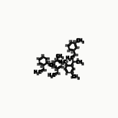 C=Cc1cc(C)ccc1C.C=Cc1ccc(C)cc1.C=Cc1cccc(C)c1.C=Cc1ccccc1C